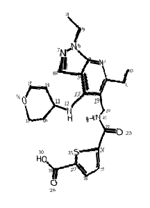 CCc1nc2c(cnn2CC)c(NC2CCOCC2)c1CNC(=O)c1ccc(C(=O)O)s1